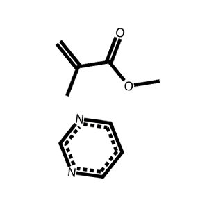 C=C(C)C(=O)OC.c1cncnc1